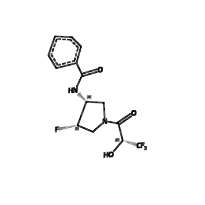 O=C(N[C@@H]1CN(C(=O)[C@@H](O)C(F)(F)F)C[C@@H]1F)c1ccccc1